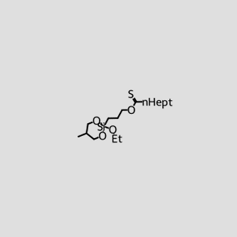 CCCCCCCC(=S)OCCC[Si]1(OCC)OCC(C)CO1